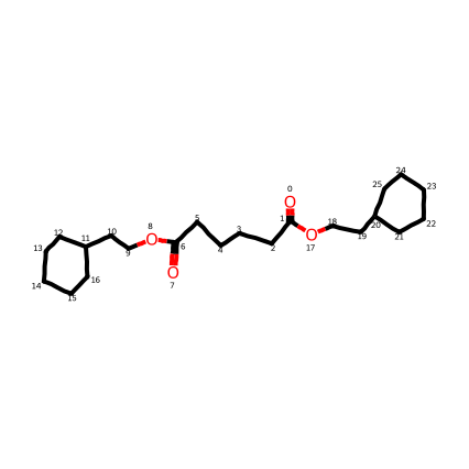 O=C(CCCCC(=O)OCCC1CCCCC1)OCCC1CCCCC1